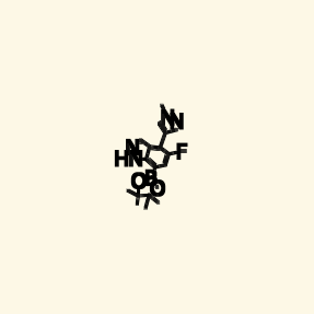 Cn1cc(-c2c(F)cc(B3OC(C)(C)C(C)(C)O3)c3[nH]ncc23)cn1